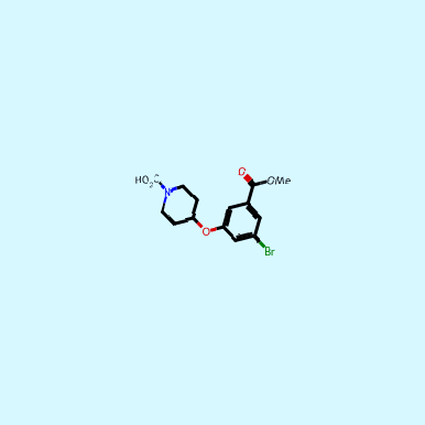 COC(=O)c1cc(Br)cc(OC2CCN(C(=O)O)CC2)c1